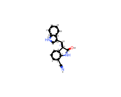 N#Cc1cccc2c1NC(=O)/C2=C/c1c[nH]c2ccccc12